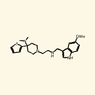 COc1ccc2[nH]cc(CNCCN3CCC(c4cccs4)(N(C)C)CC3)c2c1